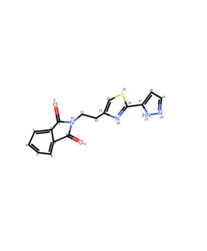 O=C1c2ccccc2C(=O)N1CCc1csc(-c2ccn[nH]2)n1